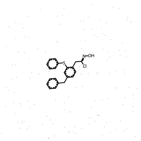 ON=C(Cl)Cc1ccc(Cc2ccccc2)cc1Sc1ccccc1